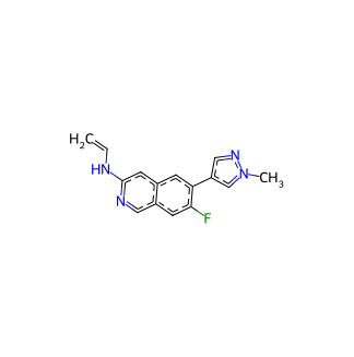 C=CNc1cc2cc(-c3cnn(C)c3)c(F)cc2cn1